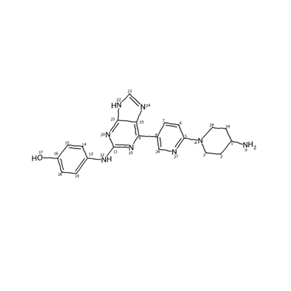 NC1CCN(c2ccc(-c3nc(Nc4ccc(O)cc4)nc4[nH]cnc34)cn2)CC1